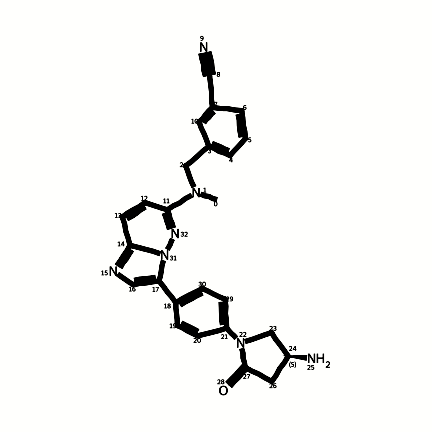 CN(Cc1cccc(C#N)c1)c1ccc2ncc(-c3ccc(N4C[C@@H](N)CC4=O)cc3)n2n1